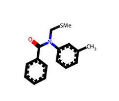 CSCN(C(=O)c1ccccc1)c1cccc(C)c1